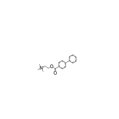 C[N+](C)(C)CCOC(=O)c1ccc(-c2ccccc2)cc1